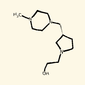 CN1CCN(C[C@@H]2CCN(CCO)C2)CC1